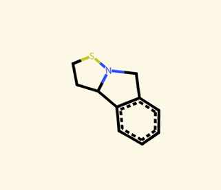 c1ccc2c(c1)CN1SCCC21